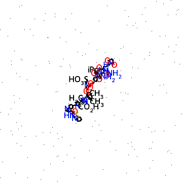 Cc1c(-c2ccc(-c3ccc4nccc(C(=O)Nc5nc6ccccc6s5)c4c3)nc2C(=O)O)cnn1CC12CC3(C)CC(C)(C1)CC(OCCN(CCS(=O)(=O)O)C(=O)OCc1ccc(N(C(=O)[C@@H](NC(=O)CCCCCN4C(=O)C=CC4=O)C(C)C)[C@@H](CCCNC(N)=O)C(N)=O)cc1)(C3)C2